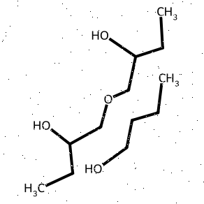 CCC(O)COCC(O)CC.CCCCO